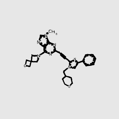 Cn1cnc2c(N3CC4(COC4)C3)nc(C#Cc3nc(-c4ccccc4)cn3CC3CCOCC3)nc21